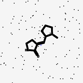 CN1CCCC1/C=C1\CCNC1=O